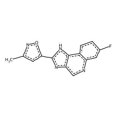 Cc1cc(-c2nc3cnc4cc(F)ccc4c3[nH]2)on1